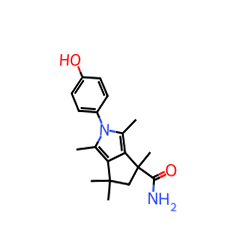 Cc1c2c(c(C)n1-c1ccc(O)cc1)C(C)(C(N)=O)CC2(C)C